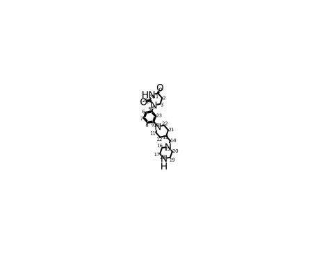 O=C1CCN(c2cccc(N3CCC(CN4CCNCC4)CC3)c2)C(=O)N1